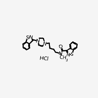 CN(CCCCN1CCN(c2nsc3ccccc23)CC1)C(=O)c1nsc2ccccc12.Cl